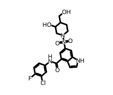 O=C(Nc1ccc(F)c(Cl)c1)c1cc(S(=O)(=O)N2CCC(CO)C(O)C2)cc2[nH]ccc12